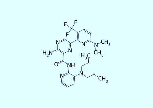 CCCN(CCC)c1cccnc1NC(=O)c1nc(-c2nc(N(C)C)ccc2C(F)(F)F)cnc1N